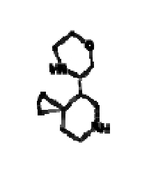 C1CC2(CC2)C(C2COCCN2)CN1